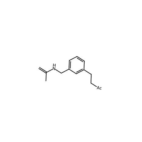 C=C(C)NCc1cccc(CCC(C)=O)c1